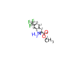 CCOC(=O)[C@@H](N)Cc1ccc(C(F)(F)F)cc1